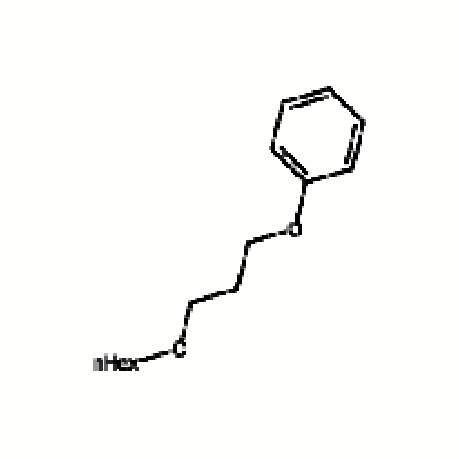 [CH2]CCCCCOCCCOc1ccccc1